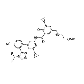 COCCNCc1cc(C(=O)Nc2cc(-c3ccc(C#N)cc3-c3nncn3C(F)F)cc(C3CC3)n2)c(=O)n(C2CC2)c1